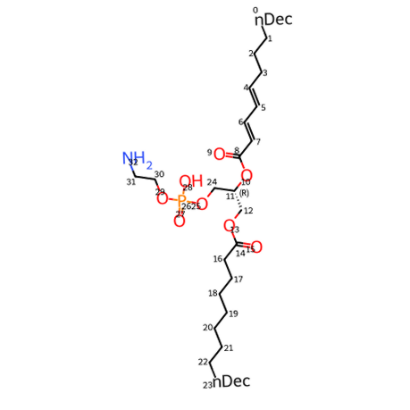 CCCCCCCCCCCCCC=CC=CC(=O)O[C@H](COC(=O)CCCCCCCCCCCCCCCCC)COP(=O)(O)OCCN